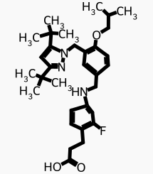 CC(C)COc1ccc(CNc2ccc(CCC(=O)O)c(F)c2)cc1Cn1nc(C(C)(C)C)cc1C(C)(C)C